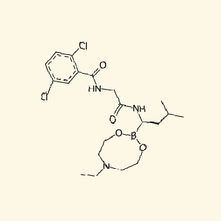 CCN1CCOB([C@H](CC(C)C)NC(=O)CNC(=O)c2cc(Cl)ccc2Cl)OCC1